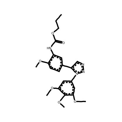 CCCOC(=O)Nc1cc(-c2cnnn2-c2cc(OC)c(OC)c(OC)c2)ccc1OC